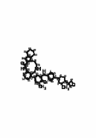 CC1CN(c2ccc(Nc3cc(-c4ccnc5c4CNCCn4c(cc6c4CCCC6)C(=O)N5)cn(C)c3=O)nc2)CCN1C1COC1